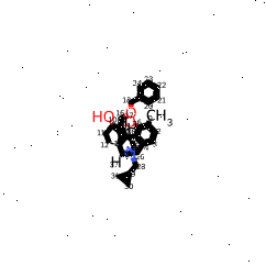 Cc1ccc2c3c1O[C@H]1[C@@]4(O)CC[C@@]5(C[C@@H]4COCc4ccccc4)[C@@H](C2)N(CC2CC2)CC[C@]315